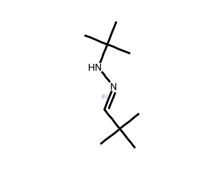 CC(C)(C)/C=N/NC(C)(C)C